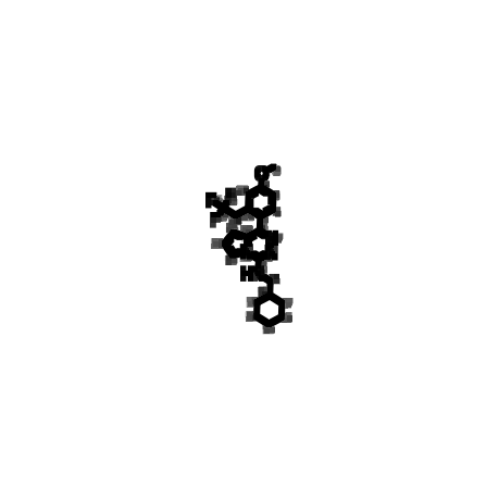 COc1ccc(-c2nnc(NCC3CCCCC3)n3cccc23)c(CC(F)(F)F)c1